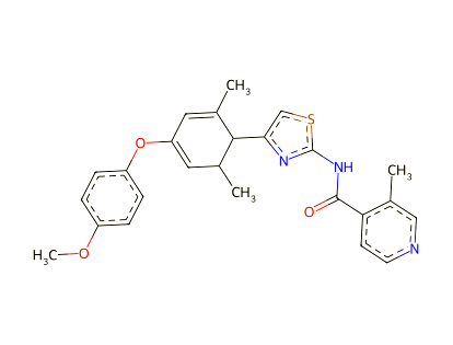 COc1ccc(OC2=CC(C)C(c3csc(NC(=O)c4ccncc4C)n3)C(C)=C2)cc1